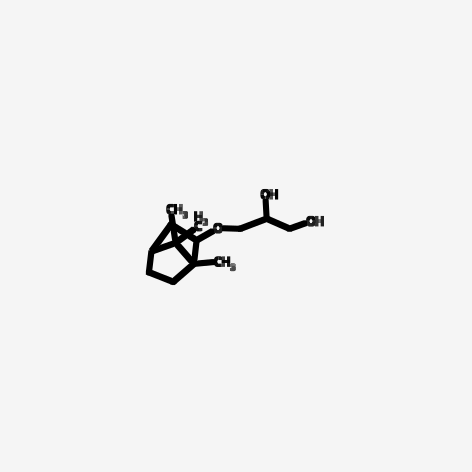 CC1(C)C2CCC1(C)C(OCC(O)CO)C2